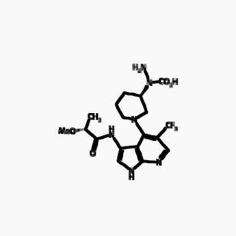 CO[C@H](C)C(=O)Nc1c[nH]c2ncc(C(F)(F)F)c(N3CCC[C@@H](N(N)C(=O)O)C3)c12